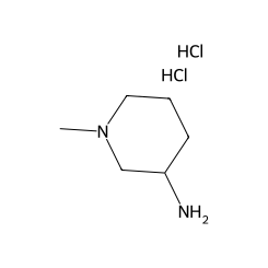 CN1CCCC(N)C1.Cl.Cl